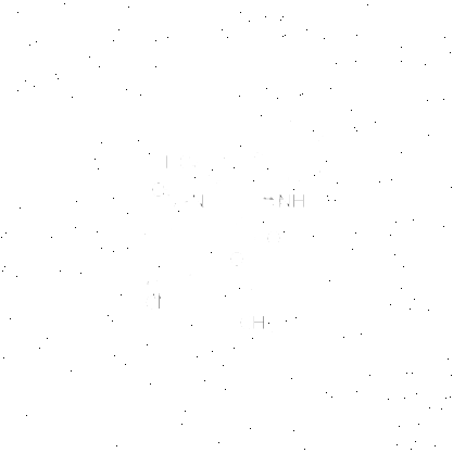 CCCOC(=O)C1=CN(C(=O)c2ccc(Cl)cc2)C(C)Cc2c1[nH]c1ccccc21